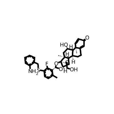 Cc1ccc(SCc2ccccc2N)c(F)c1[C@H]1O[C@@H]2C[C@H]3[C@@H]4CCC5=CC(=O)C=C[C@]5(C)[C@H]4[C@@H](O)C[C@]3(C)[C@]2(C(=O)CO)O1